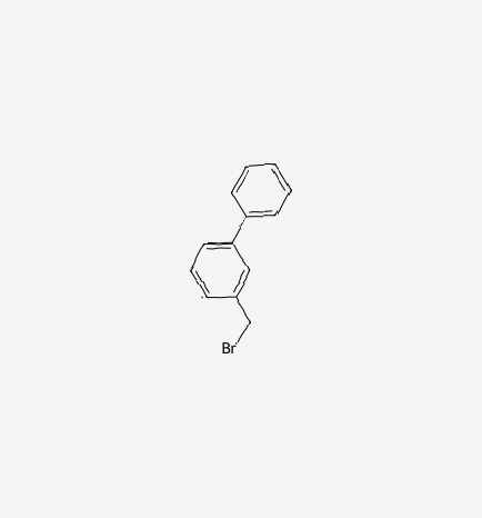 BrCc1[c]ccc(-c2ccccc2)c1